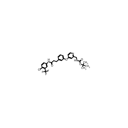 CC(C)(C)OC(=O)NCc1cc(Oc2cccc(CCC(=O)Nc3ccc(Cl)c(C(F)(F)F)c3)c2)ccn1